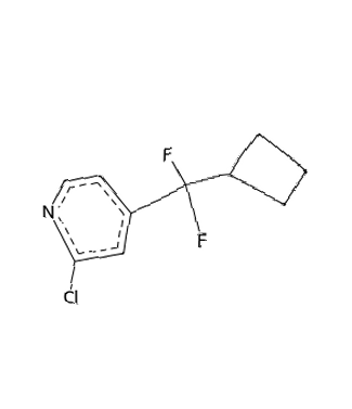 FC(F)(c1ccnc(Cl)c1)C1CCC1